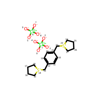 [O-][Cl+3]([O-])([O-])[O-].[O-][Cl+3]([O-])([O-])[O-].c1cc(C[S+]2CCCC2)ccc1C[S+]1CCCC1